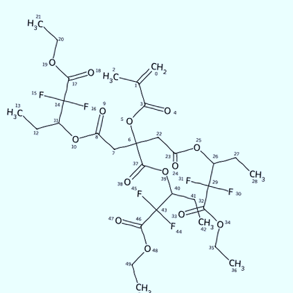 C=C(C)C(=O)OC(CC(=O)OC(CC)C(F)(F)C(=O)OCC)(CC(=O)OC(CC)C(F)(F)C(=O)OCC)C(=O)OC(CC)C(F)(F)C(=O)OCC